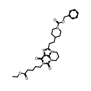 CCOC(=O)CCCCn1c(=O)c2nc(CCC3CCN(C(=O)OCc4ccccc4)CC3)n3c2n(c1=O)CCC3